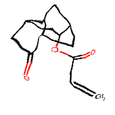 C=CC(=O)OC1C2CC3C(=O)CC1C3C2